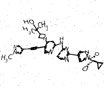 Cn1cc(C#Cc2cnc(Nc3ccnc(-c4cnn(S(=O)(=O)C5CC5)c4)n3)cc2N2CC(C(C)(C)O)C2)cn1